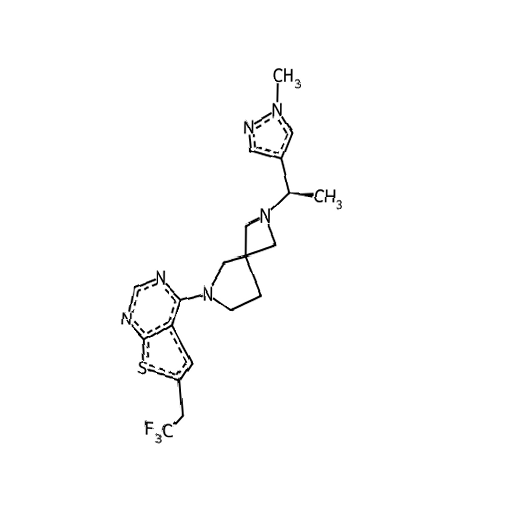 C[C@H](c1cnn(C)c1)N1CC2(CCN(c3ncnc4sc(CC(F)(F)F)cc34)C2)C1